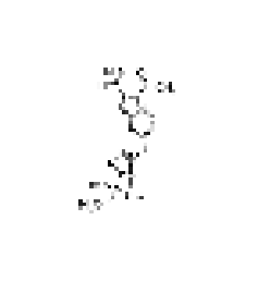 CCC(O)(c1cn(Cc2ccn3c(C(C)=O)c(C(N)=O)cc3c2)nn1)C(F)(F)F